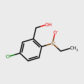 CC[S+]([O-])c1ccc(Cl)cc1CO